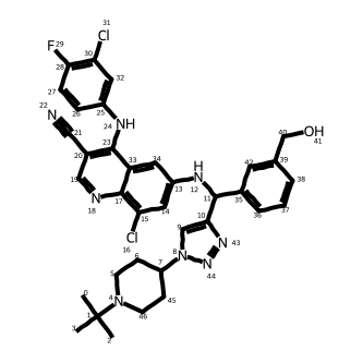 CC(C)(C)N1CCC(n2cc(C(Nc3cc(Cl)c4ncc(C#N)c(Nc5ccc(F)c(Cl)c5)c4c3)c3cccc(CO)c3)nn2)CC1